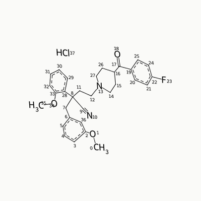 COc1cccc(CC(C#N)(CCN2CCC(C(=O)c3ccc(F)cc3)CC2)c2ccccc2OC)c1.Cl